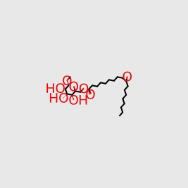 CCCCCCCCC1OC1CCCCCCCC(=O)OCC1O[C@H](OC)C(O)[C@@H](O)[C@@H]1O